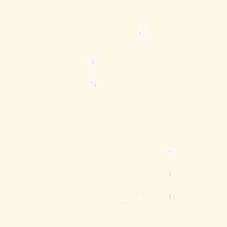 CCN(c1ccc(Oc2ccccc2)c(-c2nn(C)c(=O)c3[nH]ccc23)c1)S(C)(=O)=O.CCOC=O